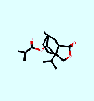 C=C(C)C(=O)OC1C2OC(=O)C3CC1(C)CCC32C(C)C